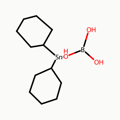 C1CC[CH]([Sn][CH]2CCCCC2)CC1.OB(O)O